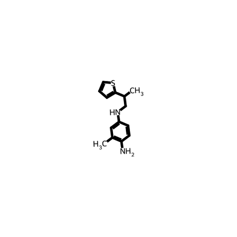 Cc1cc(NCC(C)c2cccs2)ccc1N